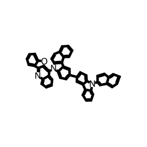 c1ccc2cc(-n3c4ccccc4c4cc(-c5ccc6c(c5)c5c7ccccc7ccc5n6-c5c6ccccc6nc6c5oc5ccccc56)ccc43)ccc2c1